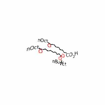 CCCCCCCCC1OC1CCCCCCCC(=O)O.CCCCCCCCC1OC1CCCCCCCC(=O)OCC(C)(CC)CCCC